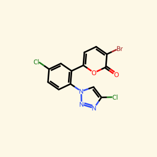 O=c1oc(-c2cc(Cl)ccc2-n2cc(Cl)nn2)ccc1Br